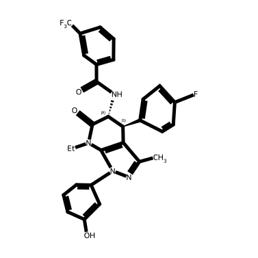 CCN1C(=O)[C@H](NC(=O)c2cccc(C(F)(F)F)c2)[C@@H](c2ccc(F)cc2)c2c(C)nn(-c3cccc(O)c3)c21